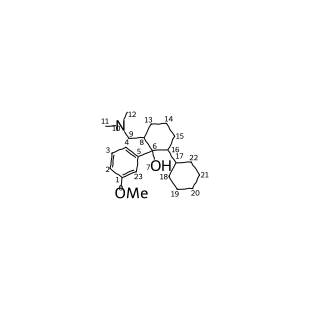 COc1cccc(C2(O)C(CN(C)C)CCCC2C2CCCCC2)c1